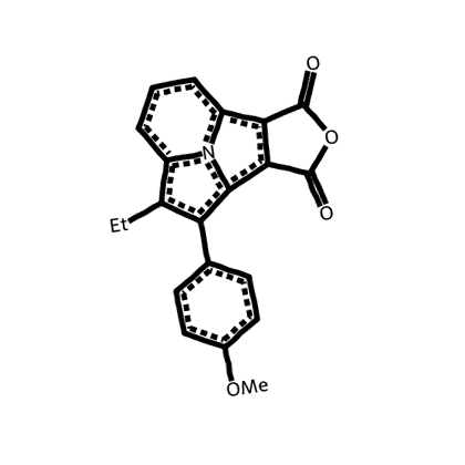 CCc1c(-c2ccc(OC)cc2)c2c3c(c4cccc1n42)C(=O)OC3=O